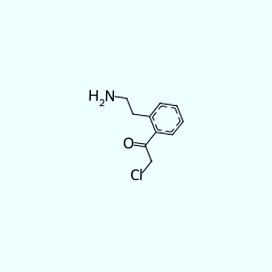 NCCc1ccccc1C(=O)CCl